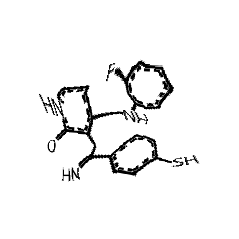 N=C(c1ccc(S)cc1)c1c(Nc2ccccc2F)cc[nH]c1=O